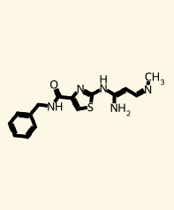 C/N=C\C=C(/N)Nc1nc(C(=O)NCc2ccccc2)cs1